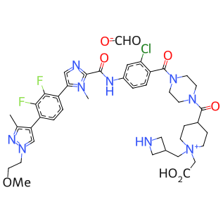 COCCn1cc(-c2ccc(-c3cnc(C(=O)Nc4ccc(C(=O)N5CCN(C(=O)C6CC[N+](CC(=O)O)(CC7CNC7)CC6)CC5)c(Cl)c4)n3C)c(F)c2F)c(C)n1.O=C[O-]